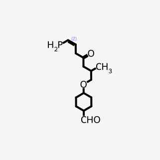 CC(COC1CCC(C=O)CC1)CC(=O)C/C=C\P